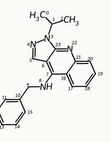 CC(C)n1ncc2c(NCc3ccccc3)c3ccccc3nc21